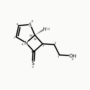 OCCC1C(=S)N2C=CS[C@@H]12